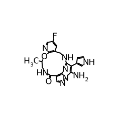 CC1CNC(=O)c2cnn3c(N)c(-c4cc[nH]c4)c(nc23)NCc2cc(F)cnc2O1